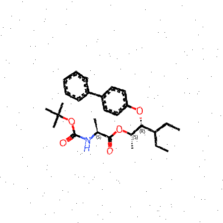 CCC(CC)[C@@H](Oc1ccc(-c2ccccc2)cc1)[C@H](C)OC(=O)[C@H](C)NC(=O)OC(C)(C)C